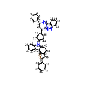 C1=C(c2ccccc2)N=C(c2ccccc2)NC1c1ccc(-n2c3ccccc3c3c4sc(-c5ccccc5)cc4ccc32)cc1